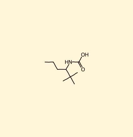 CCCC(NC(=O)O)C(C)(C)C